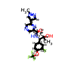 Cn1cc(-c2cncc(C(=O)N[C@@H](c3ccc(OC(F)(F)F)c(F)c3)C(C)(C)O)n2)cn1